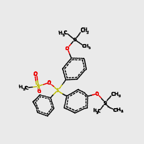 C[Si](C)(C)Oc1cccc(S(OS(C)(=O)=O)(c2ccccc2)c2cccc(O[Si](C)(C)C)c2)c1